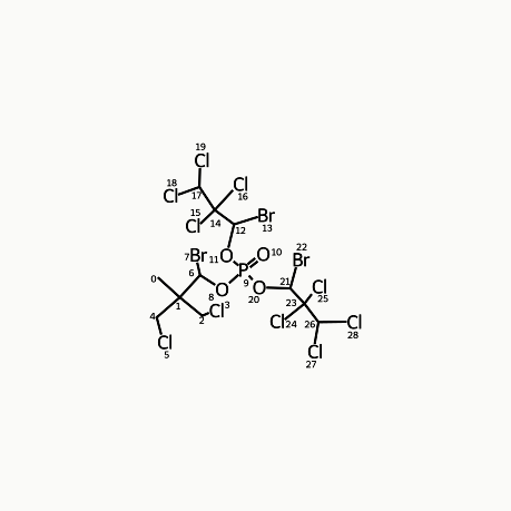 CC(CCl)(CCl)C(Br)OP(=O)(OC(Br)C(Cl)(Cl)C(Cl)Cl)OC(Br)C(Cl)(Cl)C(Cl)Cl